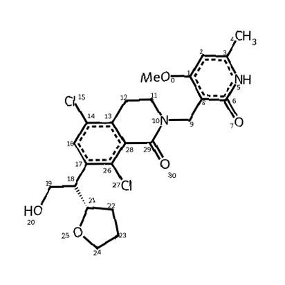 COc1cc(C)[nH]c(=O)c1CN1CCc2c(Cl)cc(C(CO)[C@@H]3CCCO3)c(Cl)c2C1=O